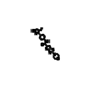 O=C(Nc1ccc(-c2n[nH]cc2F)cc1)c1cc2sc(N3CCOCC3)nc2s1